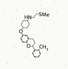 CSCCNC1CCC(Oc2ccc3c(c2)CCC(c2ccccc2C)O3)CC1